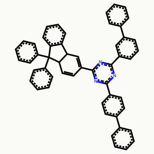 C1=CC2C(C=C1c1nc(-c3ccc(-c4ccccc4)cc3)nc(-c3cccc(-c4ccccc4)c3)n1)c1ccccc1C2(c1ccccc1)c1ccccc1